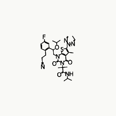 C=NN(/N=C\C)c1sc2c(c1C)c(=O)n(C(C)(C)C(=O)NC(C)C)c(=O)n2CC(OC(C)C)c1cc(F)ccc1CCC#N